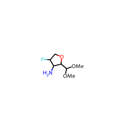 COC(OC)C1OCC(F)C1N